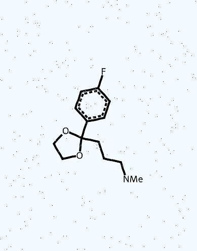 CNCCCC1(c2ccc(F)cc2)OCCO1